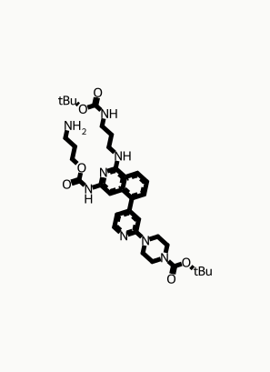 CC(C)(C)OC(=O)NCCCNc1nc(NC(=O)OCCCN)cc2c(-c3ccnc(N4CCN(C(=O)OC(C)(C)C)CC4)c3)cccc12